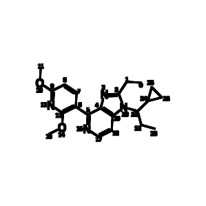 CCc1nc2c(-c3ccc(OC)nc3OC)nccc2n1C(CC)C1CC1